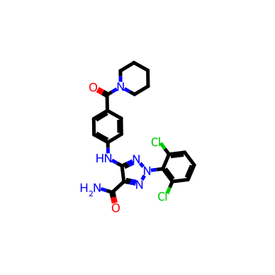 NC(=O)c1nn(-c2c(Cl)cccc2Cl)nc1Nc1ccc(C(=O)N2CCCCC2)cc1